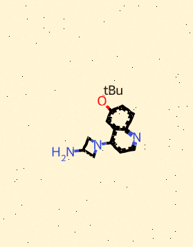 CC(C)(C)Oc1ccc2nccc(N3CC(N)C3)c2c1